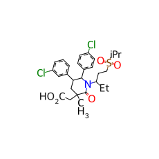 CCC(CCS(=O)(=O)C(C)C)N1C(=O)C(C)(CC(=O)O)CC(c2cccc(Cl)c2)C1c1ccc(Cl)cc1